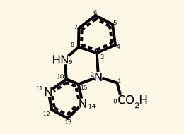 O=C(O)CN1c2ccccc2Nc2nccnc21